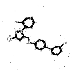 N#Cc1cccc(-c2ccc(OCc3cc(C(F)(F)F)nn3-c3ccccc3Cl)cc2)c1